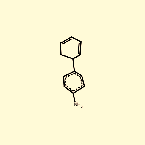 Nc1ccc(C2C=CC=CC2)cc1